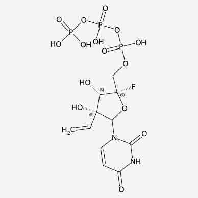 C=C[C@]1(O)C(n2ccc(=O)[nH]c2=O)O[C@](F)(COP(=O)(O)OP(=O)(O)OP(=O)(O)O)[C@H]1O